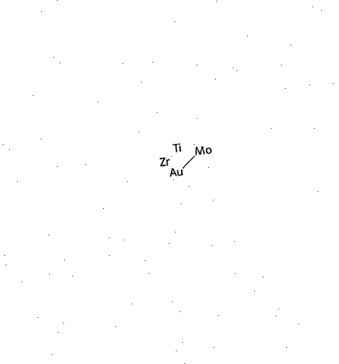 [Mo][Au].[Ti].[Zr]